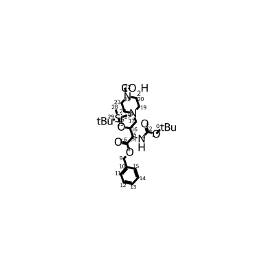 CC(C)(C)OC(=O)N[C@H](C(=O)OCc1ccccc1)C(CN1CCN(C(=O)O)CC1)O[Si](C)(C)C(C)(C)C